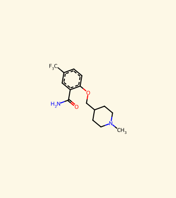 CN1CCC(COc2ccc(C(F)(F)F)cc2C(N)=O)CC1